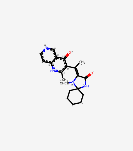 C/C(=C1\C(=O)NC2(CCCCC2)N1C=O)c1c(C)[nH]c2ccncc2c1=O